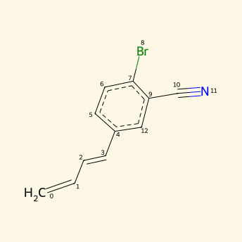 C=C/C=C/c1ccc(Br)c(C#N)c1